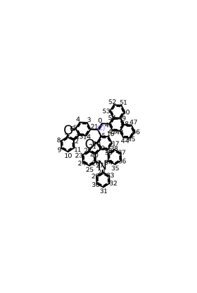 C(=C(\c1ccc2oc3ccccc3c2c1)c1cccc2c1oc1cccc(N(c3ccccc3)c3ccccc3)c12)/c1cc2ccccc2c2ccccc12